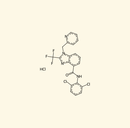 Cl.O=C(Nc1c(Cl)cccc1Cl)c1cccc2c1nc(C(F)(F)F)n2Cc1ccccn1